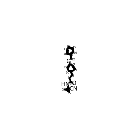 N#CC1(NC(=O)CCc2ccc(OCc3ccccc3)cc2)CC1